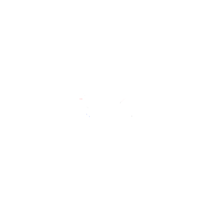 CC(C)(C)OC(=O)C1CCC[C@H](O)[C@@H](N)C1